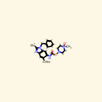 COc1cc2nc(C(C)(C)C)n(Cc3ccccc3)c2cc1NC(=O)SN1CC[N+](C)([O-])CC1